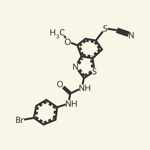 COc1cc(SC#N)cc2sc(NC(=O)Nc3ccc(Br)cc3)nc12